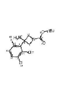 CC(C)(C)OC(=O)N1CC(N)(c2c(F)ccc(Cl)c2Cl)C1